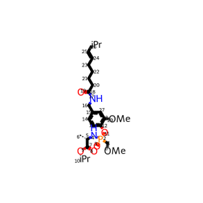 COCP(=O)(N[C@@H](C)C(=O)OC(C)C)Oc1ccc(CNC(=O)CCCC/C=C/C(C)C)cc1OC